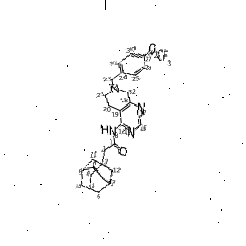 O=C(CC12CC3CC(CC(C3)C1)C2)Nc1ncnc2c1CCN(Cc1ccc(OC(F)(F)F)cc1)C2